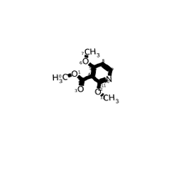 COC(=O)c1c(OC)ccnc1OC